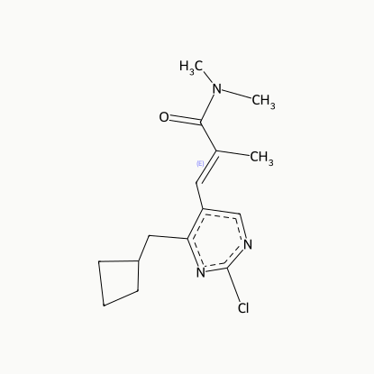 C/C(=C\c1cnc(Cl)nc1CC1CCC1)C(=O)N(C)C